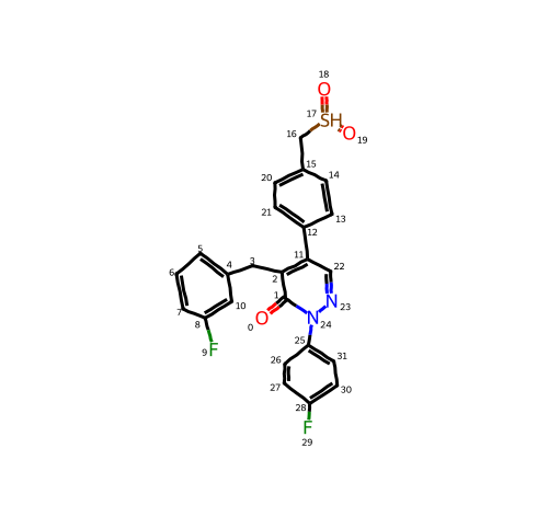 O=c1c(Cc2cccc(F)c2)c(-c2ccc(C[SH](=O)=O)cc2)cnn1-c1ccc(F)cc1